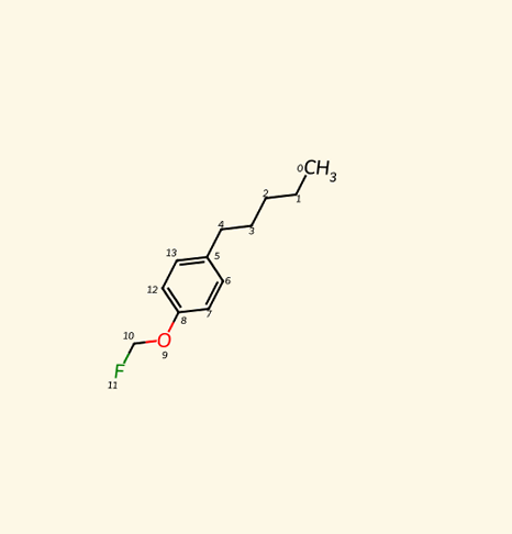 CCCCCc1ccc(OCF)cc1